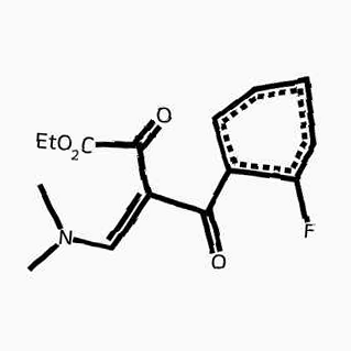 CCOC(=O)C(=O)C(=CN(C)C)C(=O)c1ccccc1F